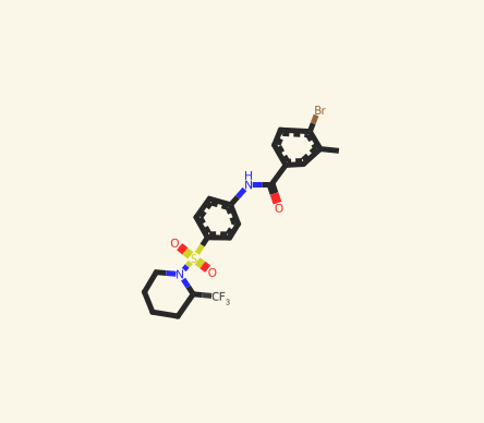 Cc1cc(C(=O)Nc2ccc(S(=O)(=O)N3CCCCC3C(F)(F)F)cc2)ccc1Br